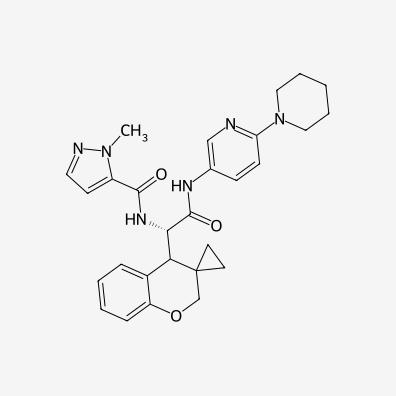 Cn1nccc1C(=O)N[C@H](C(=O)Nc1ccc(N2CCCCC2)nc1)C1c2ccccc2OCC12CC2